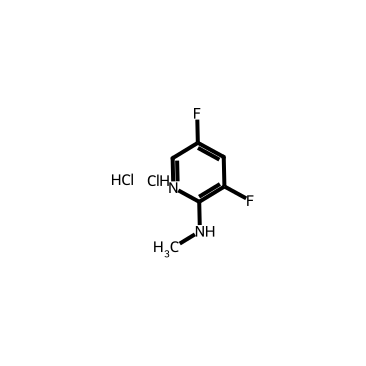 CNc1ncc(F)cc1F.Cl.Cl